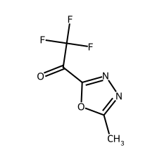 Cc1nnc(C(=O)C(F)(F)F)o1